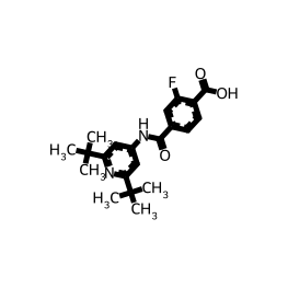 CC(C)(C)c1cc(NC(=O)c2ccc(C(=O)O)c(F)c2)cc(C(C)(C)C)n1